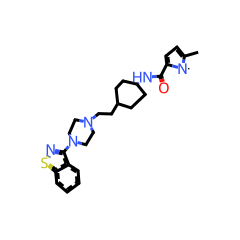 CC1=CC=C(C(=O)NC2CCC(CCN3CCN(c4nsc5ccccc45)CC3)CC2)[N]1